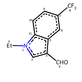 CCn1cc(C=O)c2cc(C(F)(F)F)ccc21